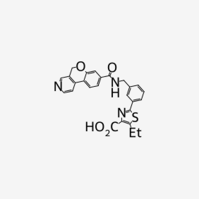 CCc1sc(-c2cccc(CNC(=O)c3ccc4c(c3)OCc3cnccc3-4)c2)nc1C(=O)O